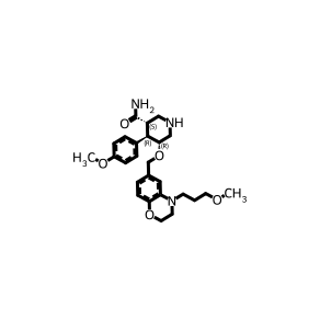 COCCCN1CCOc2ccc(CO[C@H]3CNC[C@@H](C(N)=O)[C@@H]3c3ccc(OC)cc3)cc21